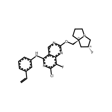 C=Cc1cccc(Nc2nc(Cl)c(F)c3nc(OC[C@@]45CCCN4C[C@H](F)C5)ncc23)c1